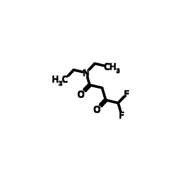 CCN(CC)C(=O)CC(=O)C(F)F